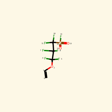 C=COC(F)(F)C(F)(F)C(F)(F)S(=O)(=O)F